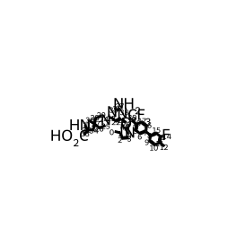 Cc1ccn(-c2cc(-c3ccc(C)c(F)c3)ccc2C(Oc2cc(N3CCC4(CC3)CNC(C(=O)O)C4)nc(N)n2)C(F)(F)F)n1